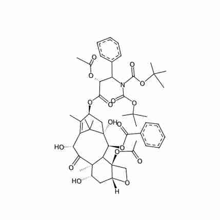 CC(=O)O[C@@H](C(=O)O[C@H]1C[C@@]2(O)[C@@H](OC(=O)c3ccccc3)C3[C@](C)(C(=O)[C@H](O)C(=C1C)C2(C)C)[C@@H](O)C[C@H]1OC[C@@]31OC(C)=O)C(c1ccccc1)N(C(=O)OC(C)(C)C)C(=O)OC(C)(C)C